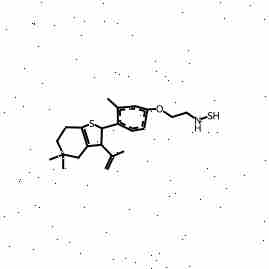 C=C(C)C1C2=C(CCC(C)(C)C2)SC1c1ccc(OCCNS)cc1C